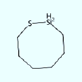 C1CCCS[SiH2]CC1